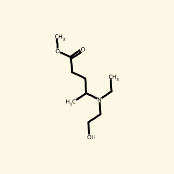 CCN(CCO)C(C)CCC(=O)OC